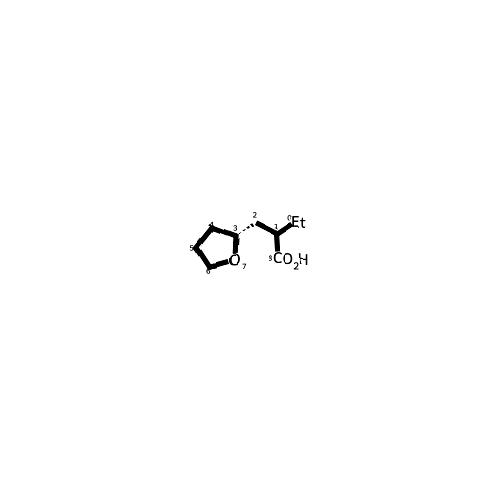 CCC(C[C@H]1CCCO1)C(=O)O